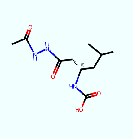 CC(=O)NNC(=O)C[C@H](CC(C)C)NC(=O)O